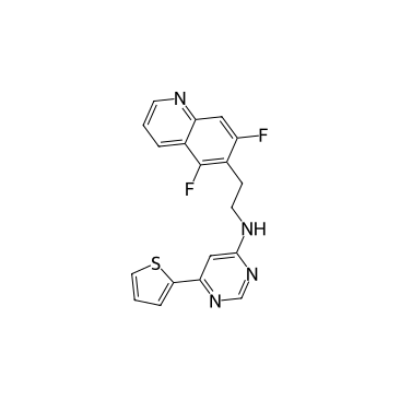 Fc1cc2ncccc2c(F)c1CCNc1cc(-c2cccs2)ncn1